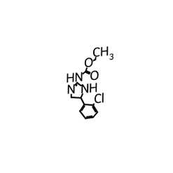 CCOC(=O)NC1=NCC(c2ccccc2Cl)N1